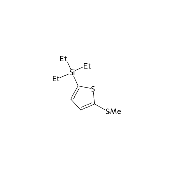 CC[Si](CC)(CC)c1ccc(SC)s1